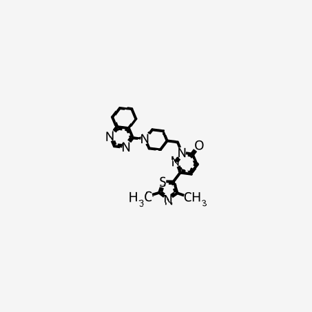 Cc1nc(C)c(-c2ccc(=O)n(CC3CCN(c4ncnc5c4CCCC5)CC3)n2)s1